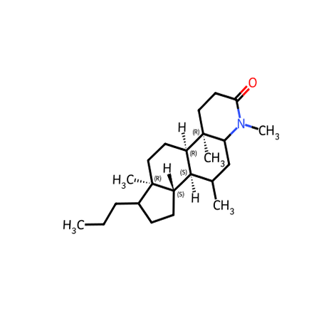 CCCC1CC[C@H]2[C@@H]3C(C)CC4N(C)C(=O)CC[C@]4(C)[C@@H]3CC[C@]12C